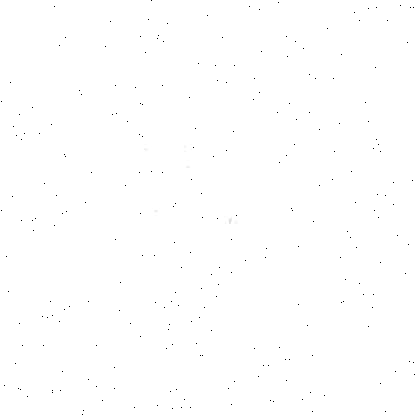 CCC1(O)CCCN2CC1n1cc(C(=O)NCc3c(F)cc(F)cc3F)c(=O)c(O)c1C2O